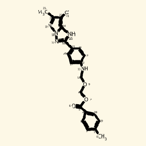 Cc1ccc(C(=O)OCOCNc2ccc(-c3nn4nc(C)c(Cl)c4[nH]3)cc2)cc1